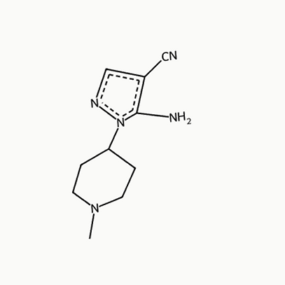 CN1CCC(n2ncc(C#N)c2N)CC1